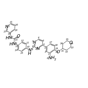 Nc1cc(-c2ccnc(Nc3ccc(NC(=O)Nc4cccnc4)cc3)n2)ccc1OC1CCOCC1